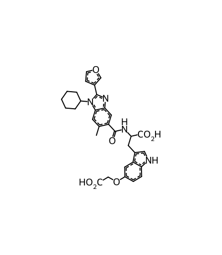 Cc1cc2c(cc1C(=O)NC(Cc1c[nH]c3ccc(OCC(=O)O)cc13)C(=O)O)nc(-c1ccoc1)n2C1CCCCC1